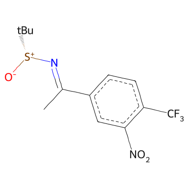 [CH2]C(C)(C)[S@@+]([O-])/N=C(\C)c1ccc(C(F)(F)F)c([N+](=O)[O-])c1